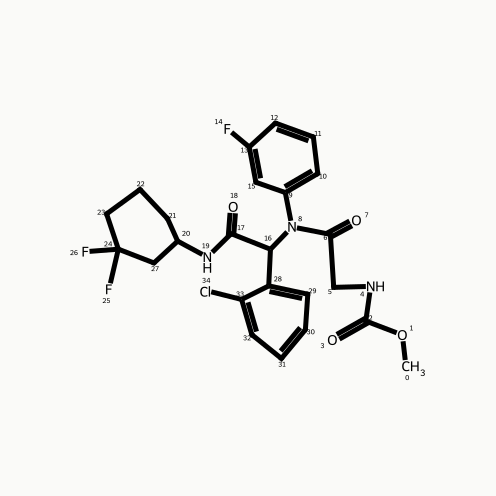 COC(=O)NCC(=O)N(c1cccc(F)c1)C(C(=O)NC1CCCC(F)(F)C1)c1ccccc1Cl